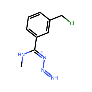 CN/C(=N\N=N)c1cccc(CCl)c1